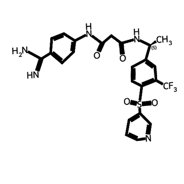 C[C@H](NC(=O)CC(=O)Nc1ccc(C(=N)N)cc1)c1ccc(S(=O)(=O)c2cccnc2)c(C(F)(F)F)c1